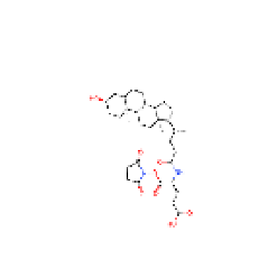 C[C@H](CCC(=O)N[C@@H](CCC(=O)O)C(=O)ON1C(=O)CCC1=O)[C@H]1CCC2C3CCC4C[C@H](O)CC[C@]4(C)C3CC[C@@]21C